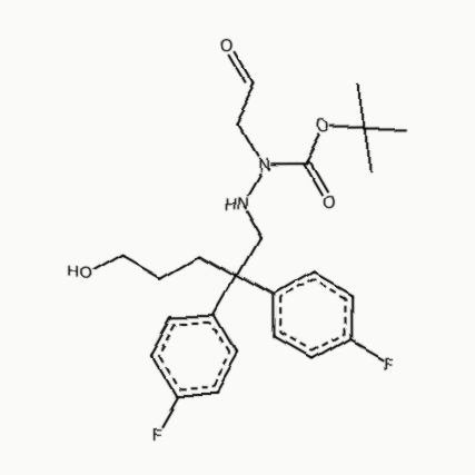 CC(C)(C)OC(=O)N(CC=O)NCC(CCCO)(c1ccc(F)cc1)c1ccc(F)cc1